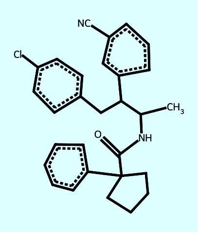 CC(NC(=O)C1(c2ccccc2)CCCC1)C(Cc1ccc(Cl)cc1)c1cccc(C#N)c1